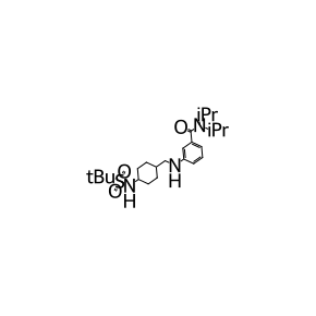 CC(C)N(C(=O)c1cccc(NCC2CCC(NS(=O)(=O)C(C)(C)C)CC2)c1)C(C)C